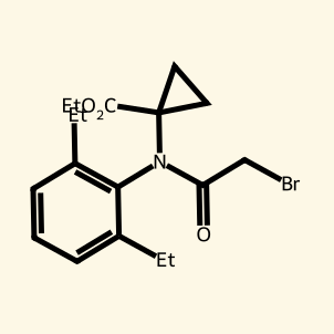 CCOC(=O)C1(N(C(=O)CBr)c2c(CC)cccc2CC)CC1